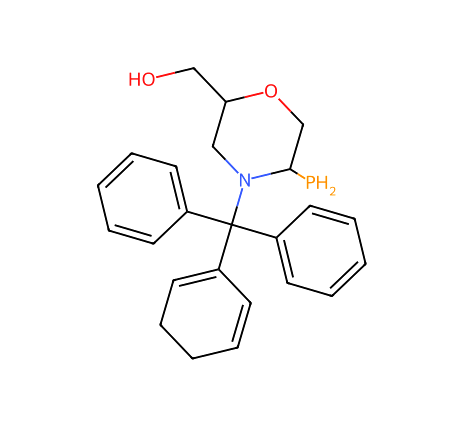 OCC1CN(C(C2=CCCC=C2)(c2ccccc2)c2ccccc2)C(P)CO1